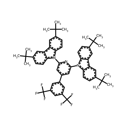 CC(C)(C)c1ccc2c(c1)c1cc(C(C)(C)C)ccc1n2-c1cc(-c2cc(C(F)(F)F)cc(C(F)(F)F)c2)cc(-n2c3ccc(C(C)(C)C)cc3c3cc(C(C)(C)C)ccc32)n1